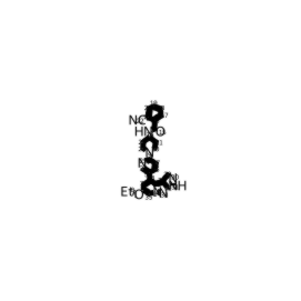 CCOc1cc(-c2ccc(N3CCC(NC(=O)c4ccccc4C#N)CC3)nc2)c2c3cn[nH]c3nn2c1